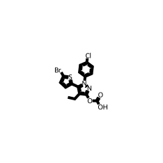 CCc1c(OC(=O)O)nn(-c2ccc(Cl)cc2)c1-c1ccc(Br)s1